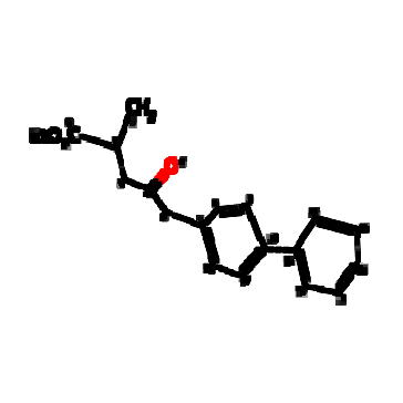 CCOC(=O)C(C)CC(=O)Cc1ccc(-c2ccccc2)cc1